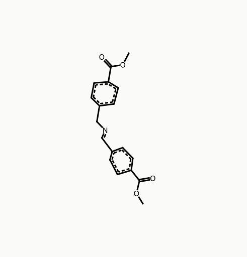 COC(=O)c1ccc(C=NCc2ccc(C(=O)OC)cc2)cc1